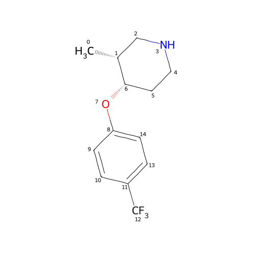 C[C@@H]1CNCC[C@@H]1Oc1ccc(C(F)(F)F)cc1